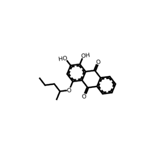 CCCC(C)Oc1cc(O)c(O)c2c1C(=O)c1ccccc1C2=O